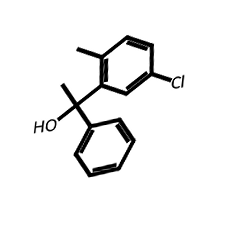 Cc1ccc(Cl)cc1C(C)(O)c1ccccc1